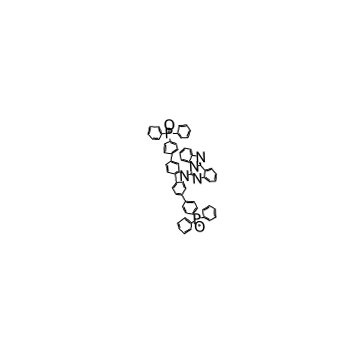 O=P(c1ccccc1)(c1ccccc1)c1ccc(-c2ccc3c4ccc(-c5ccc(P(=O)(c6ccccc6)c6ccccc6)cc5)cc4n(-c4nc5ccccc5c5nc6ccccc6n45)c3c2)cc1